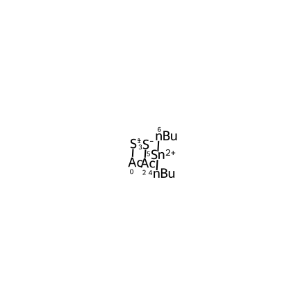 CC(=O)[S-].CC(=O)[S-].CCC[CH2][Sn+2][CH2]CCC